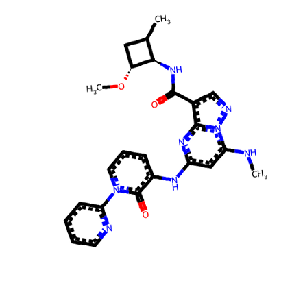 CNc1cc(Nc2cccn(-c3ccccn3)c2=O)nc2c(C(=O)N[C@@H]3C(C)C[C@H]3OC)cnn12